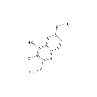 CCc1nc2ccc(SC)cc2c(C)[n+]1[O-]